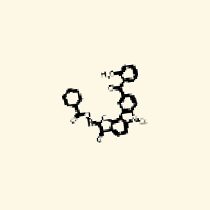 CCn1c2ccc(C(=O)c3ccccc3C)cc2c2c3c(ccc21)C(=O)/C(=N/OC(=O)C1CCCCC1)O3